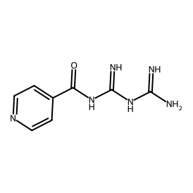 N=C(N)NC(=N)NC(=O)c1ccncc1